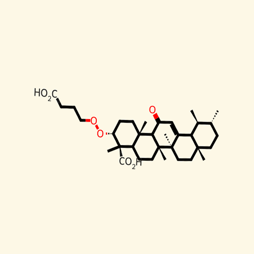 C[C@@H]1CC[C@]2(C)CC[C@]3(C)C(=CC(=O)C4[C@@]5(C)CC[C@@H](OOCCCC(=O)O)[C@](C)(C(=O)O)C5CC[C@]43C)C2[C@H]1C